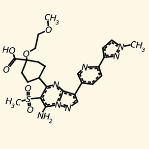 COCCOC1(C(=O)O)CCC(c2nc3c(-c4ccc(-c5ccn(C)n5)nc4)cnn3c(N)c2S(C)(=O)=O)CC1